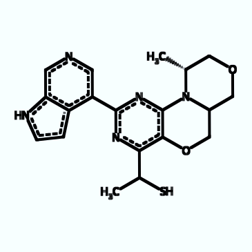 CC(S)c1nc(-c2cncc3[nH]ccc23)nc2c1OCC1COC[C@@H](C)N21